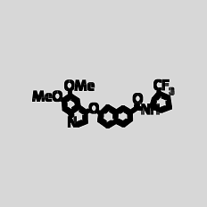 COc1cc2nccc(Oc3ccc4ccc(C(=O)Nc5cccc(C(F)(F)F)c5)cc4c3)c2cc1OC